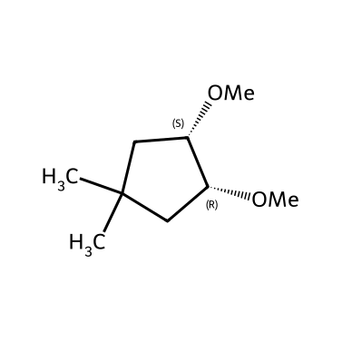 CO[C@H]1CC(C)(C)C[C@H]1OC